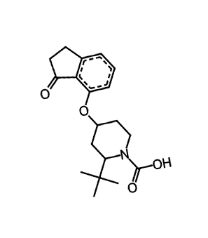 CC(C)(C)C1CC(Oc2cccc3c2C(=O)CC3)CCN1C(=O)O